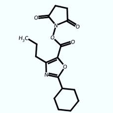 CCCc1nc(C2CCCCC2)oc1C(=O)ON1C(=O)CCC1=O